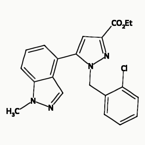 CCOC(=O)c1cc(-c2cccc3c2cnn3C)n(Cc2ccccc2Cl)n1